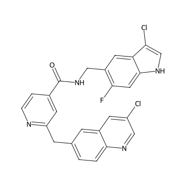 O=C(NCc1cc2c(Cl)c[nH]c2cc1F)c1ccnc(Cc2ccc3ncc(Cl)cc3c2)c1